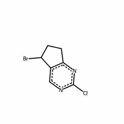 Clc1ncc2c(n1)CCC2Br